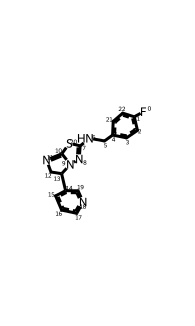 Fc1ccc(CNC2=NN3C(=NCC3c3cccnc3)S2)cc1